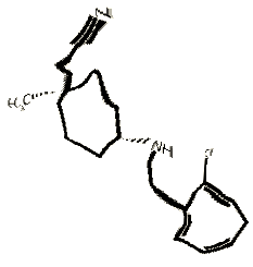 C[C@]1(CC#N)CC[C@H](NCc2ccccc2Cl)CC1